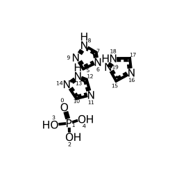 O=P(O)(O)O.c1nc[nH]n1.c1nc[nH]n1.c1nc[nH]n1